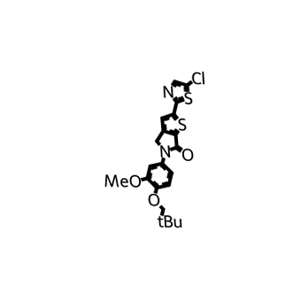 COc1cc(N2Cc3cc(-c4ncc(Cl)s4)sc3C2=O)ccc1OCC(C)(C)C